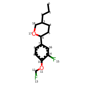 CCCC1CCC(c2ccc(OCF)c(F)c2)OC1